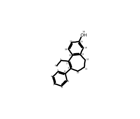 CCC1=C(c2ccccc2)CCCc2cc(O)ccc21